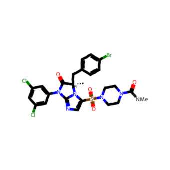 CNC(=O)N1CCN(S(=O)(=O)c2cnc3n2[C@](C)(Cc2ccc(Br)cc2)C(=O)N3c2cc(Cl)cc(Cl)c2)CC1